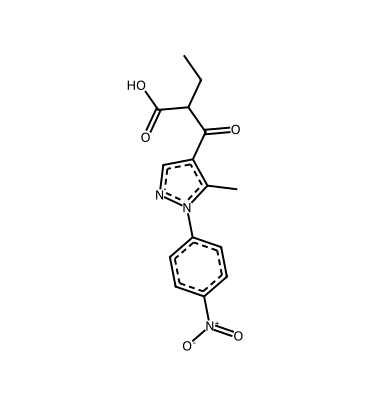 CCC(C(=O)O)C(=O)c1cnn(-c2ccc([N+](=O)[O-])cc2)c1C